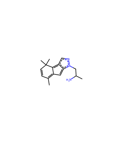 CC1=C2C=c3c(cnn3CC(C)N)=C2C(C)(C)C=C1